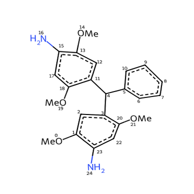 COc1cc(C(c2ccccc2)c2cc(OC)c(N)cc2OC)c(OC)cc1N